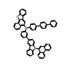 c1ccc(-c2ccc(-c3ccc(N(c4cccc(-c5ccc6c(c5)c5ccccc5n6-c5cc6ccccc6c6ccccc56)c4)c4cc5c6ccccc6oc5c5ccccc45)cc3)cc2)cc1